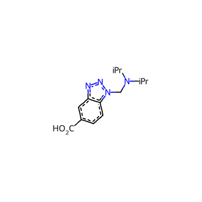 CC(C)N(Cn1nnc2cc(C(=O)O)ccc21)C(C)C